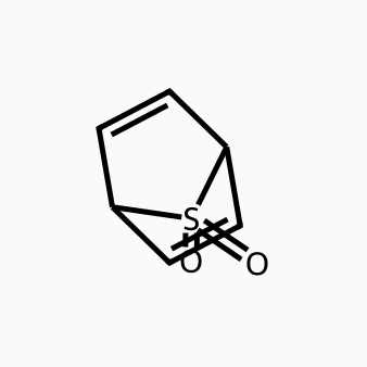 O=S1(=O)C2C=CC1C=C2